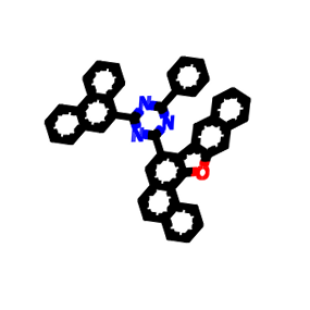 c1ccc(-c2nc(-c3cc4ccccc4c4ccccc34)nc(-c3cc4ccc5ccccc5c4c4oc5cc6ccccc6cc5c34)n2)cc1